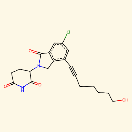 O=C1CCC(N2Cc3c(C#CCCCCCO)cc(Cl)cc3C2=O)C(=O)N1